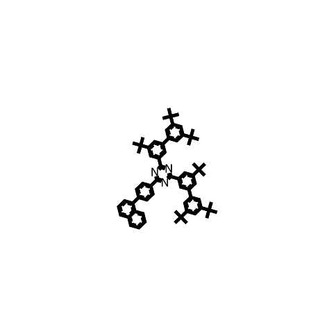 CC(C)(C)c1cc(-c2cc(C(C)(C)C)cc(C(C)(C)C)c2)cc(-c2nc(-c3ccc(-c4cccc5ccccc45)cc3)nc(-c3cc(-c4cc(C(C)(C)C)cc(C(C)(C)C)c4)cc(C(C)(C)C)c3)n2)c1